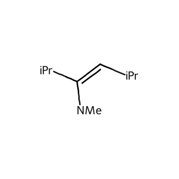 CN/C(=C\C(C)C)C(C)C